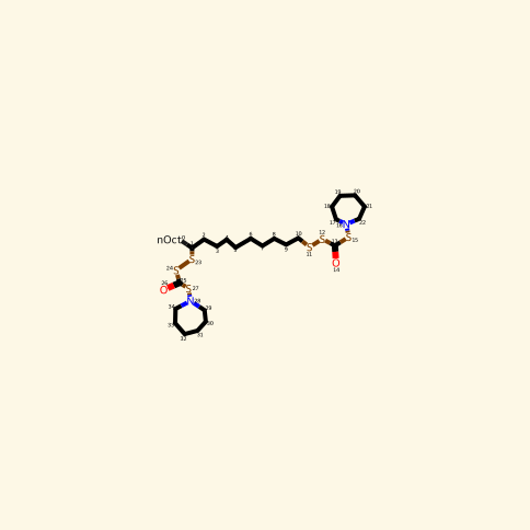 CCCCCCCCC(CCCCCCCCCSSC(=O)SN1CCCCCC1)SSC(=O)SN1CCCCCC1